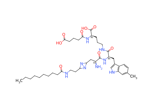 CCCCCCCCCC(=O)NCCC1N2C(C[C@H](N)C(=O)N[C@H](Cc3c[nH]c4cc(C)ccc34)C(=O)NCCC[C@@H](NC(=O)CCCC(=O)O)C(=O)O)N12